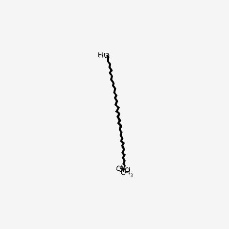 C[Si](Cl)(Cl)CCCCCCCCCCCCCCCCCCCCCCCCCCCCCCCCCCCCCO